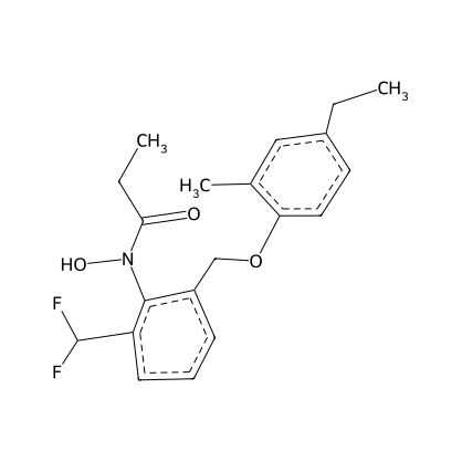 CCC(=O)N(O)c1c(COc2ccc(CC)cc2C)cccc1C(F)F